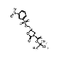 CC(C)(C)OC(=O)N1C[C@@H](COS(=O)(=O)c2cccc([N+](=O)[O-])c2)OC1=O